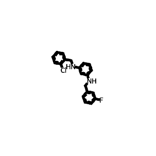 Fc1cccc(CNc2cccc(NCc3ccccc3Cl)c2)c1